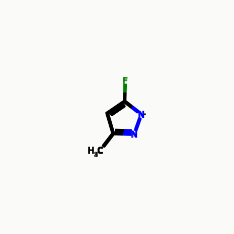 CC1=N[N]C(F)=C1